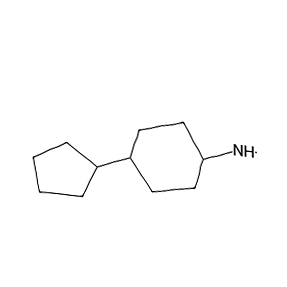 [NH]C1CCC(C2CCCC2)CC1